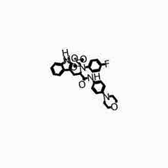 O=C(Nc1ccc(N2CCOCC2)cc1)C(Cc1c[nH]c2ccccc12)N(c1ccc(F)cc1)S(=O)(=O)O